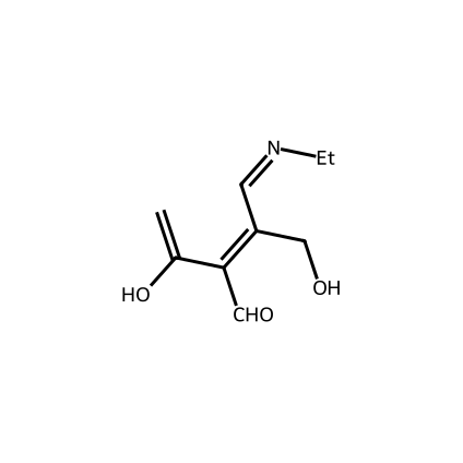 C=C(O)/C(C=O)=C(\C=N/CC)CO